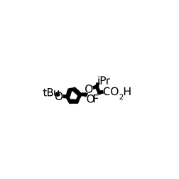 CC(C)C(OC(=O)c1ccc(OC(C)(C)C)cc1)C(F)C(=O)O